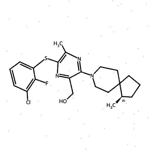 Cc1nc(N2CCC3(CCC[C@H]3C)CC2)c(CO)nc1Sc1cccc(Cl)c1F